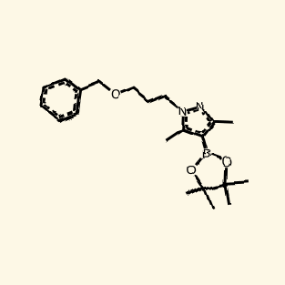 Cc1nn(CCCOCc2ccccc2)c(C)c1B1OC(C)(C)C(C)(C)O1